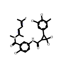 C/C(F)=C\C=C(/C)N(C)C(=O)c1cc(NC(=O)C2C(c3cc(C)c(Cl)c(Cl)c3)C2(Cl)Cl)ccc1Cl